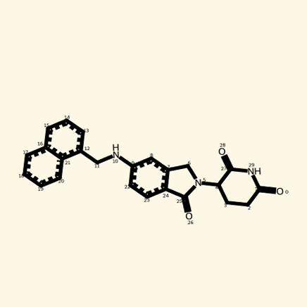 O=C1CCC(N2Cc3cc(NCc4cccc5ccccc45)ccc3C2=O)C(=O)N1